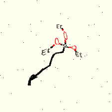 C#CCCCC[Si](OCC)(OCC)OCC